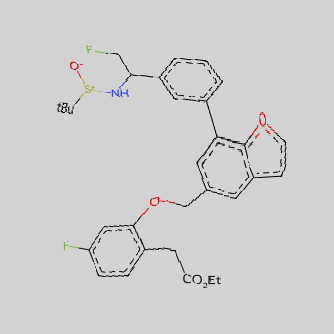 CCOC(=O)Cc1ccc(F)cc1OCc1cc(-c2cccc(C(CF)N[S+]([O-])C(C)(C)C)c2)c2occc2c1